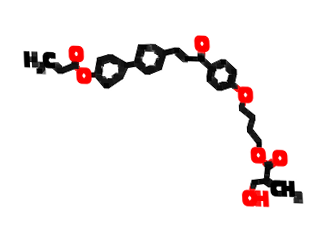 C=CC(=O)Oc1ccc(-c2ccc(/C=C/C(=O)c3ccc(OCCCCOC(=O)C(=C)CO)cc3)cc2)cc1